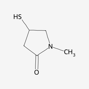 CN1CC(S)CC1=O